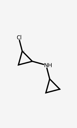 Cl[C]1CC1NC1CC1